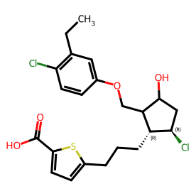 CCc1cc(OCC2C(O)C[C@@H](Cl)[C@@H]2CCCc2ccc(C(=O)O)s2)ccc1Cl